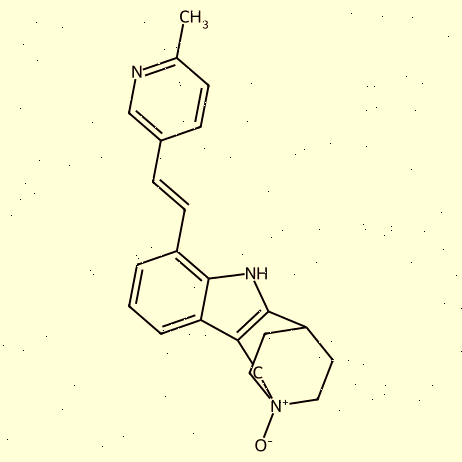 Cc1ccc(C=Cc2cccc3c4c([nH]c23)C2CC[N+]([O-])(CC2)C4)cn1